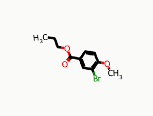 CCCOC(=O)c1ccc(OC)c(Br)c1